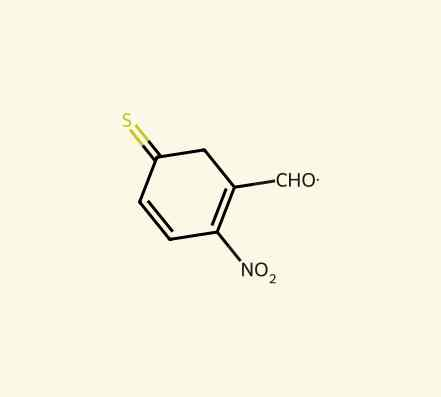 O=[C]C1=C([N+](=O)[O-])C=CC(=S)C1